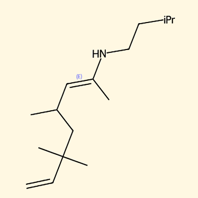 C=CC(C)(C)CC(C)/C=C(\C)NCCC(C)C